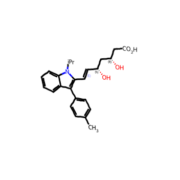 Cc1ccc(-c2c(/C=C/[C@@H](O)C[C@@H](O)CC(=O)O)n(C(C)C)c3ccccc23)cc1